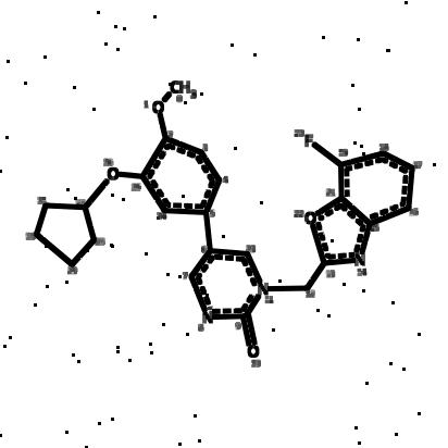 COc1ccc(-c2cnc(=O)n(Cc3nc4cccc(F)c4o3)c2)cc1OC1CCCC1